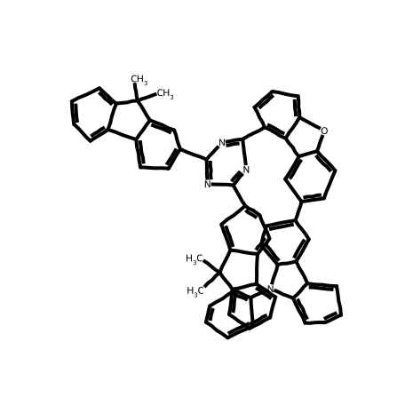 CC1(C)c2ccccc2-c2ccc(-c3nc(-c4ccc5c(c4)C(C)(C)c4ccccc4-5)nc(-c4cccc5oc6ccc(-c7ccc8c(c7)c7ccccc7n8-c7ccccc7)cc6c45)n3)cc21